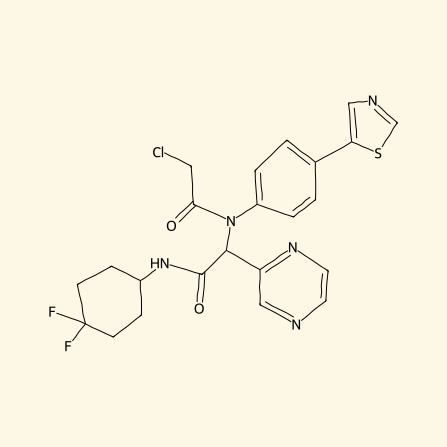 O=C(NC1CCC(F)(F)CC1)C(c1cnccn1)N(C(=O)CCl)c1ccc(-c2cncs2)cc1